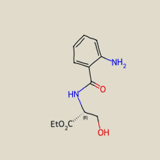 CCOC(=O)[C@@H](CO)NC(=O)c1ccccc1N